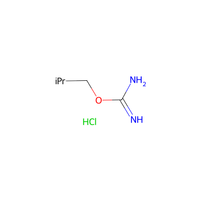 CC(C)COC(=N)N.Cl